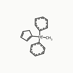 [CH3][Hf]([C]1=CC=CC1)([c]1ccccc1)[c]1ccccc1